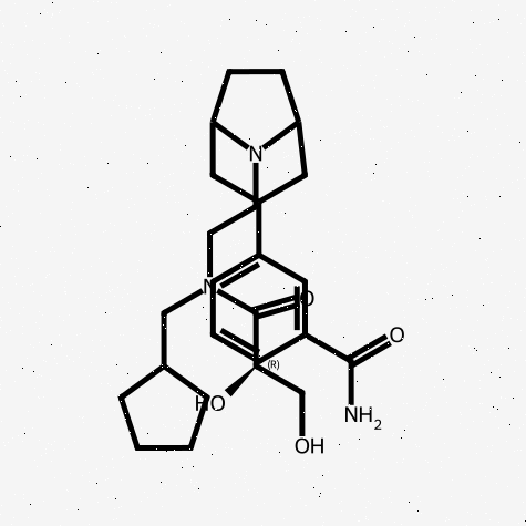 NC(=O)c1cccc(C2CC3CCC(C2)N3CCN(CC2CCCC2)C(=O)[C@H](O)CO)c1